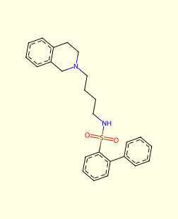 O=S(=O)(NCCCCN1CCc2ccccc2C1)c1ccccc1-c1ccccc1